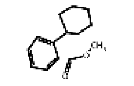 COC=O.c1ccc(C2CCCCC2)cc1